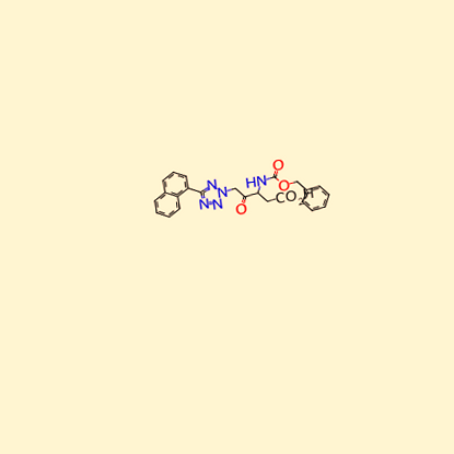 O=C(O)CC(NC(=O)OCc1ccccc1)C(=O)Cn1nnc(-c2cccc3ccccc23)n1